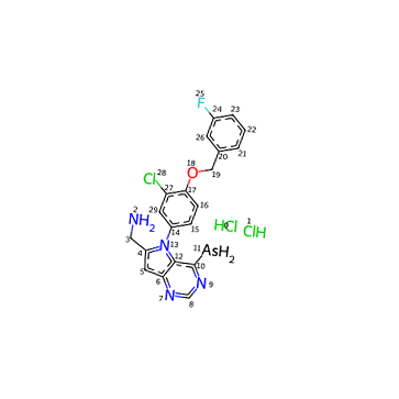 Cl.Cl.NCc1cc2ncnc([AsH2])c2n1-c1ccc(OCc2cccc(F)c2)c(Cl)c1